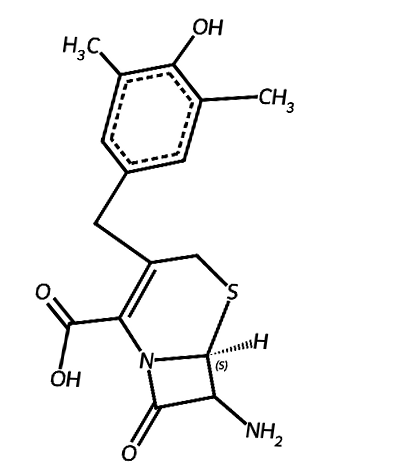 Cc1cc(CC2=C(C(=O)O)N3C(=O)C(N)[C@@H]3SC2)cc(C)c1O